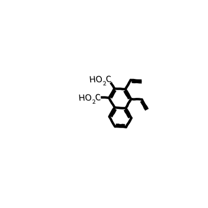 C=Cc1c(C(=O)O)c(C(=O)O)c2ccccc2c1C=C